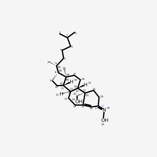 CC(C)CCC[C@@H](C)[C@H]1CC[C@H]2[C@@H]3CCC4=C/C(=N\O)CC[C@]4(CO)[C@H]3CC[C@]12C